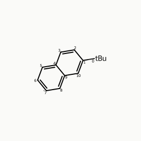 CC(C)(C)c1ccc2cc[c]cc2c1